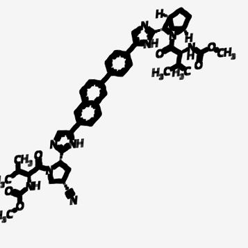 COC(=O)N[C@H](C(=O)N1C[C@@H](C#N)C[C@H]1c1ncc(-c2ccc3cc(-c4ccc(-c5cnc([C@@H]6[C@H]7CC[C@H](C7)N6C(=O)[C@@H](NC(=O)OC)C(C)C)[nH]5)cc4)ccc3c2)[nH]1)C(C)C